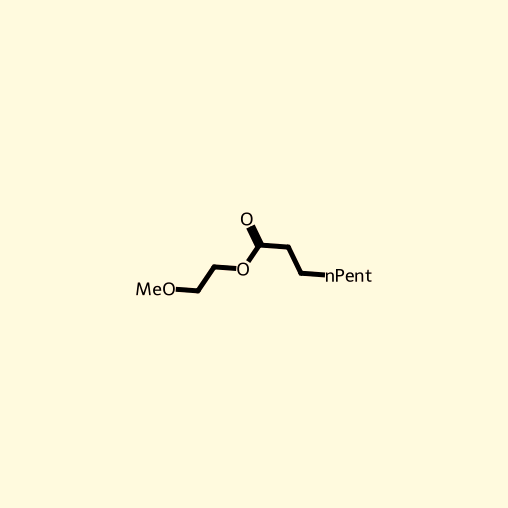 CCCCCCCC(=O)OCCOC